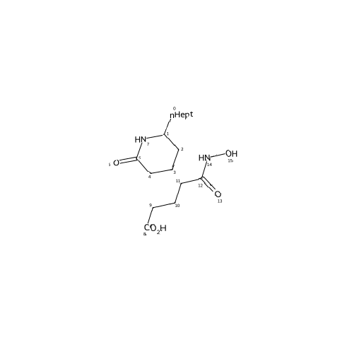 CCCCCCCC1CCCC(=O)N1.O=C(O)CCCC(=O)NO